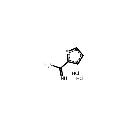 Cl.Cl.N=C(N)c1cccs1